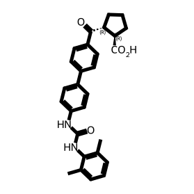 Cc1cccc(C)c1NC(=O)Nc1ccc(-c2ccc(C(=O)[C@@H]3CCC[C@H]3C(=O)O)cc2)cc1